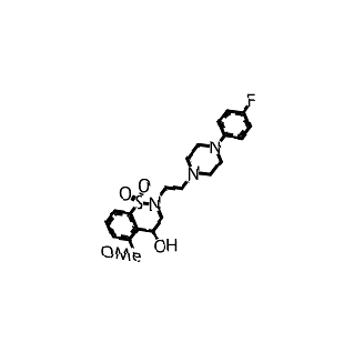 COc1cccc2c1C(O)CN(CCN1CCN(c3ccc(F)cc3)CC1)S2(=O)=O